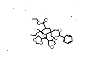 CCOC(=O)C(CC1(CC(C2COCO2)C2COCO2)COC(c2ccccc2)OC1)C(=O)OCC